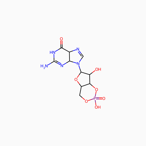 NC1=NC2C(N=CN2C2OC3COP(=O)(O)OC3C2O)C(=O)N1